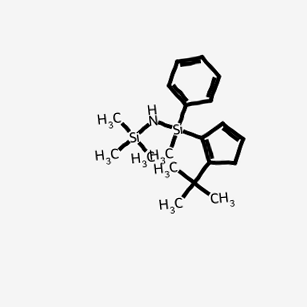 CC(C)(C)C1=C([Si](C)(N[Si](C)(C)C)c2ccccc2)C=CC1